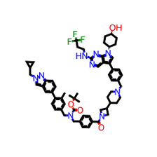 Cc1cc(CN(Cc2ccc(C(=O)N3CC(C4CCN(Cc5ccc(-c6cn([C@H]7CC[C@H](O)CC7)c7nc(NCCC(F)(F)F)ncc67)cc5)CC4)C3)cc2)C(=O)OC(C)(C)C)ccc1-c1ccc2nn(CC3CC3)cc2c1